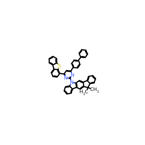 CC1(C)c2ccccc2-c2cc3c(cc21)c1ccccc1n3-c1nc(-c2ccc(-c3ccccc3)cc2)cc(-c2cccc3c2sc2ccccc23)n1